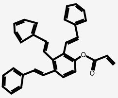 C=CC(=O)Oc1ccc(C=Cc2ccccc2)c(C=Cc2ccccc2)c1C=Cc1ccccc1